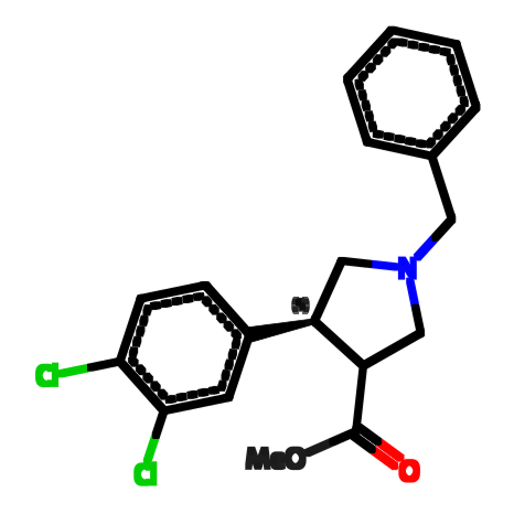 COC(=O)C1CN(Cc2ccccc2)C[C@@H]1c1ccc(Cl)c(Cl)c1